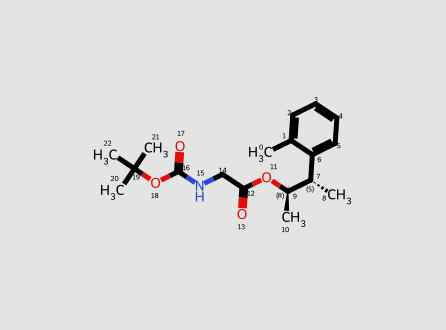 Cc1ccccc1[C@H](C)[C@@H](C)OC(=O)CNC(=O)OC(C)(C)C